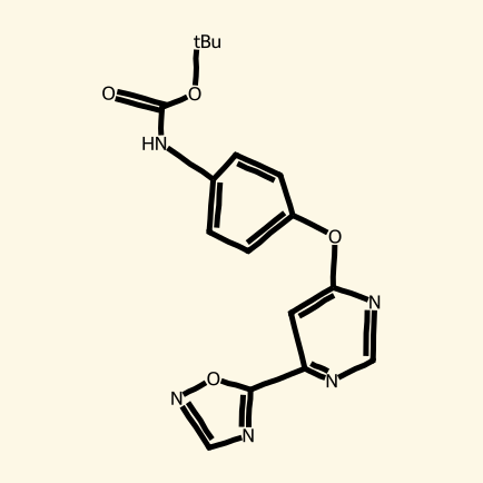 CC(C)(C)OC(=O)Nc1ccc(Oc2cc(-c3ncno3)ncn2)cc1